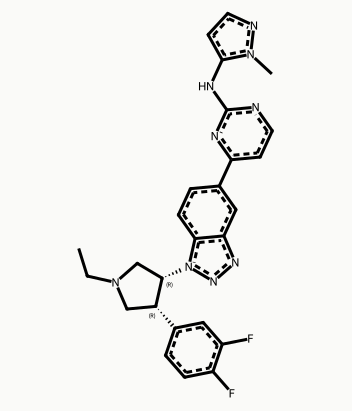 CCN1C[C@@H](c2ccc(F)c(F)c2)[C@@H](n2nnc3cc(-c4ccnc(Nc5ccnn5C)n4)ccc32)C1